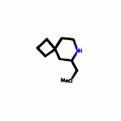 COCC1CC2(CCC2)CCN1